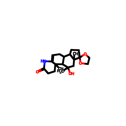 CC1(O)CC2(C)C(CCC23OCCO3)C2CC=C3NC(=O)CCC3(C)C21